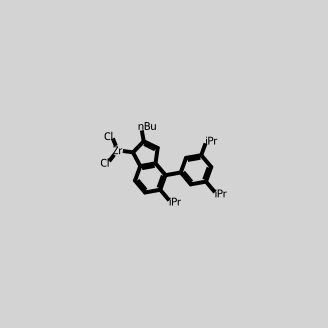 CCCCC1=Cc2c(ccc(C(C)C)c2-c2cc(C(C)C)cc(C(C)C)c2)[CH]1[Zr]([Cl])[Cl]